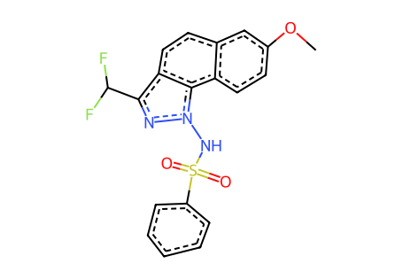 COc1ccc2c(ccc3c(C(F)F)nn(NS(=O)(=O)c4ccccc4)c32)c1